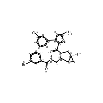 Cc1nc(C(=O)N2C[C@H]3CC3[C@H]2CNC(=O)c2cccc(Br)c2)c(-c2cccc(Cl)c2)s1